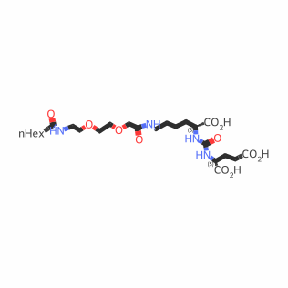 CCCCCCC(=O)NCCOCCOCC(=O)NCCCC[C@H](NC(=O)N[C@@H](CCC(=O)O)C(=O)O)C(=O)O